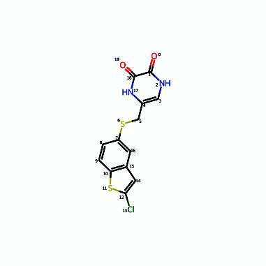 O=c1[nH]cc(CSc2ccc3sc(Cl)cc3c2)[nH]c1=O